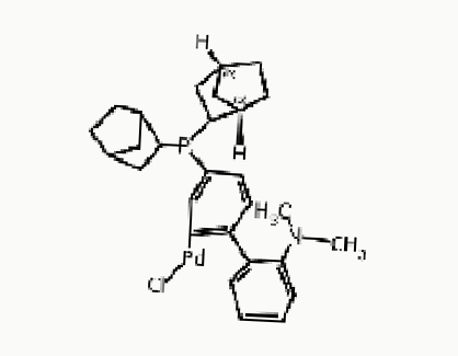 CN(C)c1ccccc1-c1ccc(P(C2CC3CCC2C3)C2C[C@@H]3CC[C@H]2C3)c[c]1[Pd][Cl]